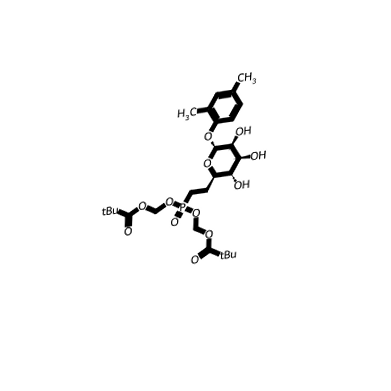 Cc1ccc(O[C@H]2O[C@H](CCP(=O)(OCOC(=O)C(C)(C)C)OCOC(=O)C(C)(C)C)[C@@H](O)[C@H](O)[C@@H]2O)c(C)c1